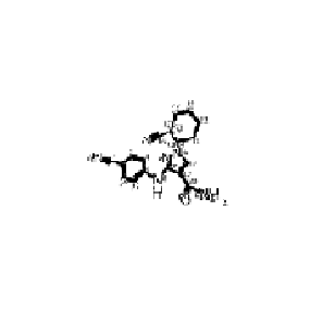 N#Cc1ccc(Nc2nn([C@H]3CCCC[C@@H]3C#N)cc2C(N)=O)cc1